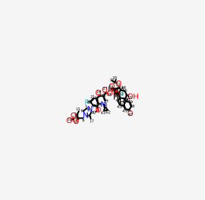 COc1c(N2CCN(Cc3oc(=O)oc3C)C(C)C2)c(F)cc2c(=O)c(C(=O)OCC(=O)[C@]34OC(C)(C)O[C@H]3C[C@@H]3[C@H]5CCC6=CC(=O)C=C[C@@]6(C)[C@]5(F)[C@H](O)C[C@]34C)cn(C3CC3)c12